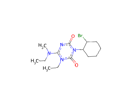 CCN(C)c1nc(=O)n(C2CCCCC2Br)c(=O)n1CC